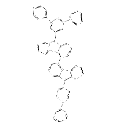 c1ccc(-c2ccc(-n3c4ccccc4c4c(-c5cccc6c5c5ccccc5n6-c5cc(-c6ccccc6)cc(-c6ccccc6)c5)cccc43)cc2)cc1